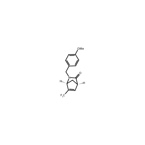 COc1ccc(CN2C(=O)[C@H]3C=C(C(F)(F)F)[C@@H]2C3)cc1